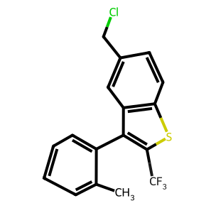 Cc1ccccc1-c1c(C(F)(F)F)sc2ccc(CCl)cc12